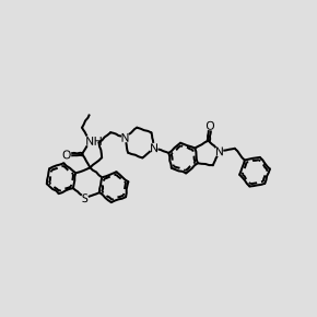 CCNC(=O)C1(CCCN2CCN(c3ccc4c(c3)C(=O)N(Cc3ccccc3)C4)CC2)c2ccccc2Sc2ccccc21